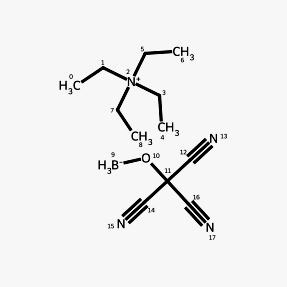 CC[N+](CC)(CC)CC.[BH3-]OC(C#N)(C#N)C#N